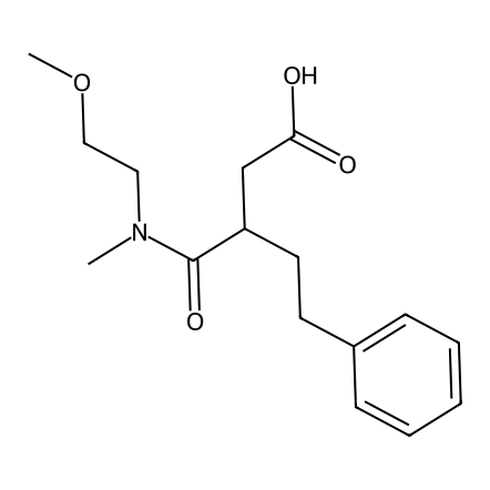 COCCN(C)C(=O)C(CCc1ccccc1)CC(=O)O